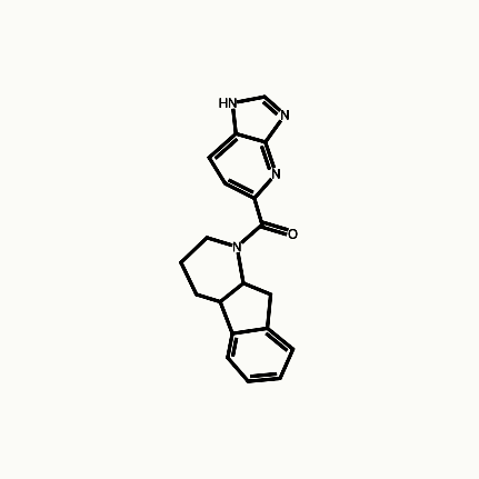 O=C(c1ccc2[nH]cnc2n1)N1CCCC2c3ccccc3CC21